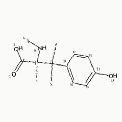 O=C(O)[C@@](I)(NI)C(I)(I)c1ccc(O)cc1